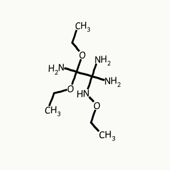 CCONC(N)(N)C(N)(OCC)OCC